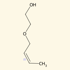 C/C=C\COCCO